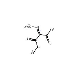 CO/N=C(/C(=O)Cl)C(=O)CCl